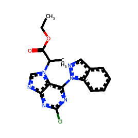 CCOC(=O)C(C)n1cnc2nc(Cl)nc(-n3ncc4ccccc43)c21